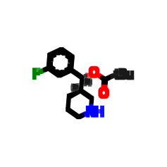 CC(C)(C)C(=O)O[C@@H](c1cccc(F)c1)[C@@H]1CCCNC1